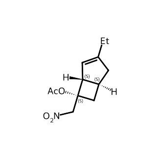 CCC1=C[C@@H]2[C@@H](C1)C[C@]2(C[N+](=O)[O-])OC(C)=O